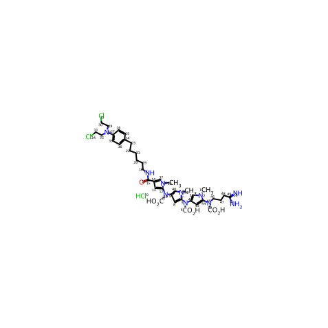 Cl.Cn1cc(N(C(=O)O)c2cc(N(C(=O)O)c3cc(C(=O)NCCCCCCc4ccc(N(CCCl)CCCl)cc4)cn3C)cn2C)cc1N(CCCC(=N)N)C(=O)O